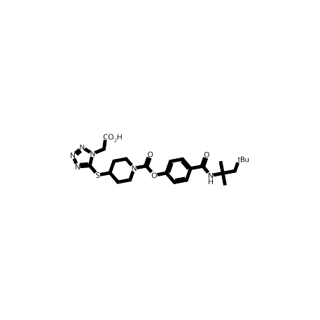 CC(C)(C)CC(C)(C)NC(=O)c1ccc(OC(=O)N2CCC(Sc3nnnn3CC(=O)O)CC2)cc1